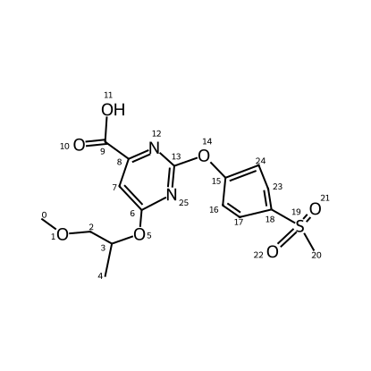 COCC(C)Oc1cc(C(=O)O)nc(Oc2ccc(S(C)(=O)=O)cc2)n1